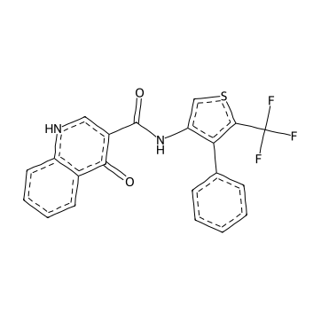 O=C(Nc1csc(C(F)(F)F)c1-c1ccccc1)c1c[nH]c2ccccc2c1=O